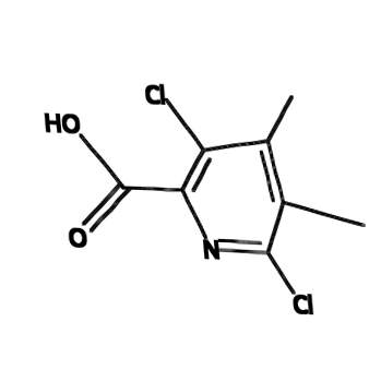 Cc1c(Cl)nc(C(=O)O)c(Cl)c1C